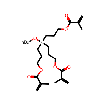 C=C(C)C(=O)OCCC[Si](CCCOC(=O)C(=C)C)(CCCOC(=O)C(=C)C)OCCCC